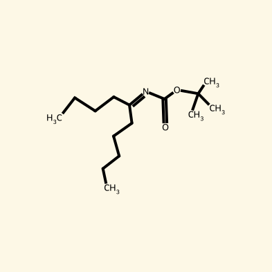 CCCCC/C(CCCC)=N\C(=O)OC(C)(C)C